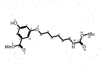 COC(=O)c1cc(O)cc(OCCCCCCNC(=O)OC(C)(C)C)c1